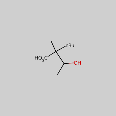 CCCCC(C)(C(=O)O)C(C)O